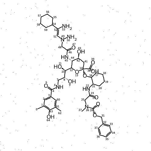 Cc1cc(C(=O)NC[C@@H](O)[C@@H](O)C2O[C@@](OC3CCCCC3NC(=O)CN(C)C(=O)OCc3ccccc3)(C(=O)O)C[C@H](O)[C@H]2NC(=O)CN(N)/C=C(\N)C2CCCCC2)cc(C)c1O